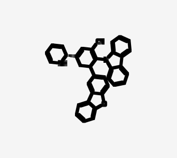 N#CC1=C(n2c3ccccc3c3ccccc32)C(c2ccc3oc4ccccc4c3c2)CC([C@H]2C=CC=CN2)=C1